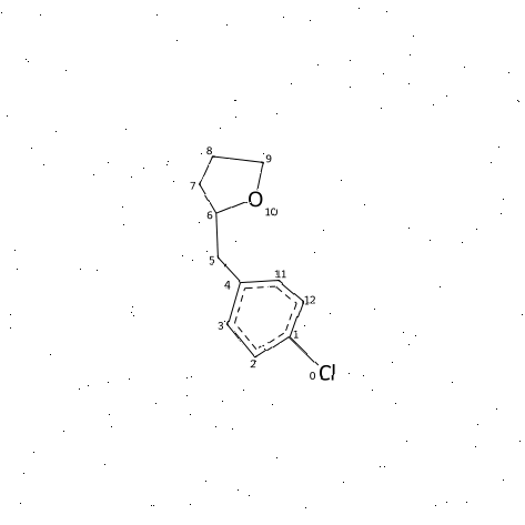 Clc1ccc(CC2CCCO2)cc1